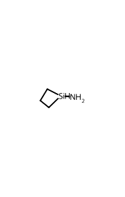 N[SiH]1CCC1